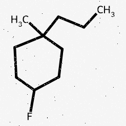 CCCC1(C)CCC(F)CC1